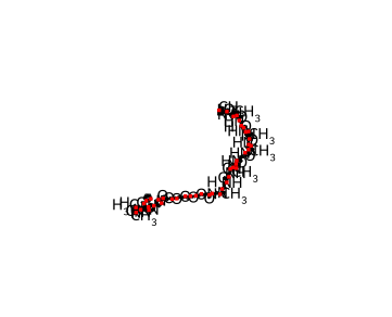 Cc1cc(-c2nc3cnc(C4CCN(C(=O)COCCOCCOCCOCCOCCC(=O)NCCCN(C)CCCNC(=O)CCNC(=O)c5nc(NC(=O)CCNC(=O)c6cc(NC(=O)c7nc(NC(=O)CCNC(=O)c8cc(NC(=O)c9nccn9C)cn8C)cn7C)cn6C)cn5C)CC4)cc3n2[C@@H](C)c2ccccc2)nn(C)c1=O